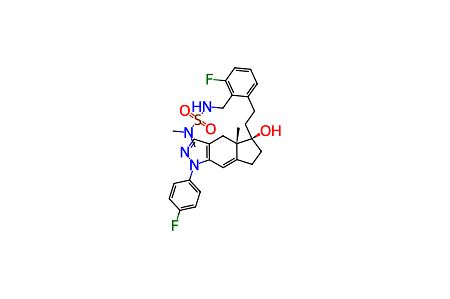 CN(C)S(=O)(=O)NCc1c(F)cccc1CC[C@]1(O)CCC2=Cc3c(cnn3-c3ccc(F)cc3)C[C@@]21C